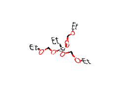 CCOCO[Si](CC)(OCOCC)OCOCC